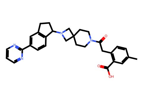 Cc1ccc(CC(=O)N2CCC3(CC2)CN(C2CCc4cc(-c5ncccn5)ccc42)C3)c(C(=O)O)c1